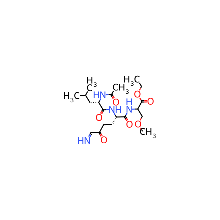 CCOC(=O)C(COC)NC(=O)[C@H](CCC(=O)C=N)NC(=O)[C@H](CC(C)C)NC(C)=O